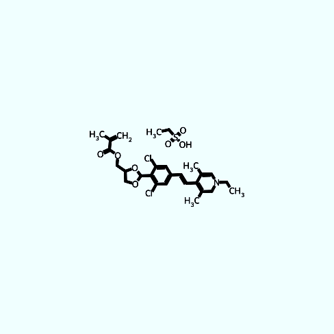 C=C(C)C(=O)OCC1COC(c2c(Cl)cc(C=CC3=C(C)CN(CC)C=C3C)cc2Cl)O1.CCS(=O)(=O)O